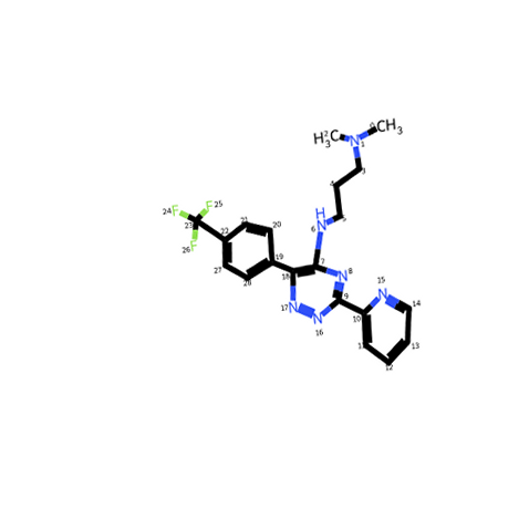 CN(C)CCCNc1nc(-c2ccccn2)nnc1-c1ccc(C(F)(F)F)cc1